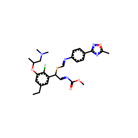 CCc1cc(OC(C)CN(C)C)c(F)c(C(/C=N/C(=O)OC)S/C=N/c2ccc(-c3noc(C)n3)cc2)c1